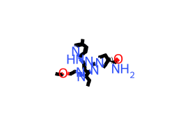 CCOCCn1nc(CC)c2nc(N3CC[C@@H](C(N)=O)C3)nc(Nc3ccc(C)cn3)c21